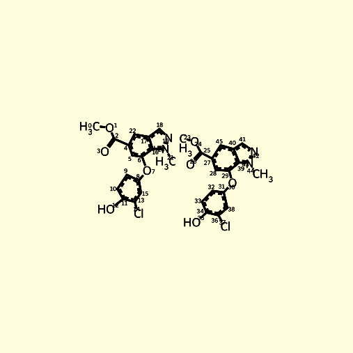 COC(=O)c1cc(Oc2ccc(O)c(Cl)c2)c2c(cnn2C)c1.COC(=O)c1cc(Oc2ccc(O)c(Cl)c2)c2c(cnn2C)c1